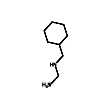 [SiH3]CNCC1CCCCC1